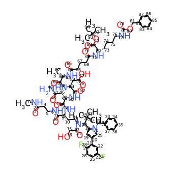 CNC(=O)CCNC(=O)[C@H](CCN(C(=O)CO)[C@@H](c1cc(-c2cc(F)ccc2F)cn1Cc1ccccc1)C(C)(C)C)NC(=O)[C@H](CC(N)=O)NC(=O)[C@H](CC(=O)O)NC(=O)[C@H](C)NC(=O)CCCC(=O)N[C@@H](CCCCNC(=O)OCc1ccccc1)C(=O)OC(C)(C)C